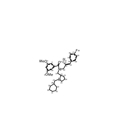 COc1cc(OC)cc(C(=O)N(C/C(C)=C/c2ccc(F)cc2)CC2CCCN2CC2CCCCC2)c1